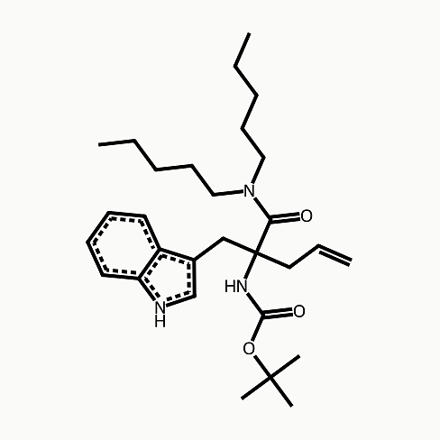 C=CCC(Cc1c[nH]c2ccccc12)(NC(=O)OC(C)(C)C)C(=O)N(CCCCC)CCCCC